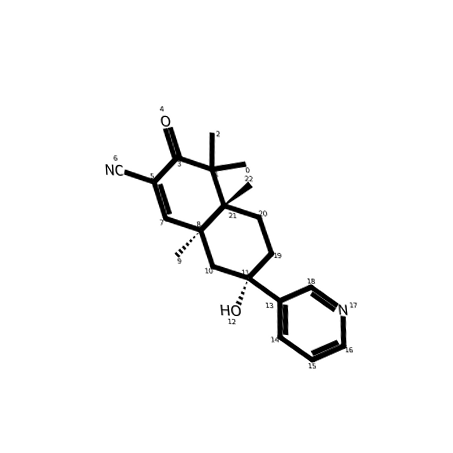 CC1(C)C(=O)C(C#N)=C[C@]2(C)C[C@](O)(c3cccnc3)CC[C@@]12C